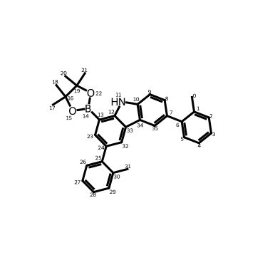 Cc1ccccc1-c1ccc2[nH]c3c(B4OC(C)(C)C(C)(C)O4)cc(-c4ccccc4C)cc3c2c1